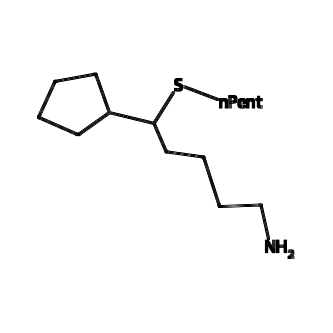 CCCCCSC(CCCCN)C1CCCC1